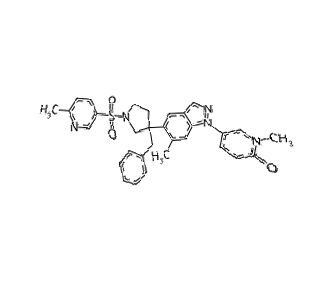 Cc1ccc(S(=O)(=O)N2CCC(Cc3ccccc3)(c3cc4cnn(-c5ccc(=O)n(C)c5)c4cc3C)C2)cn1